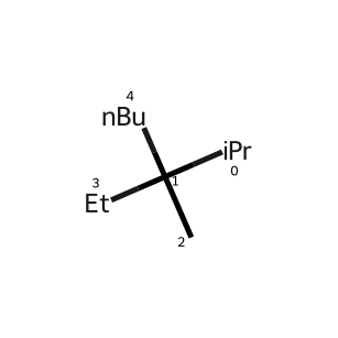 [CH2]C(C)C(C)(CC)CCCC